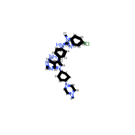 CN1CCN([C@H]2CC[C@H](n3cc(-c4ccc(Nc5nc6cc(Cl)ccc6n5C)cc4)c4c(N)ncnc43)CC2)CC1